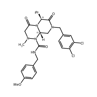 COc1ccc(CNC(=O)N2[C@H]3CN(Cc4ccc(Cl)c(Cl)c4)C(=O)[C@H](C(C)C)N3C(=O)CN2C)cc1